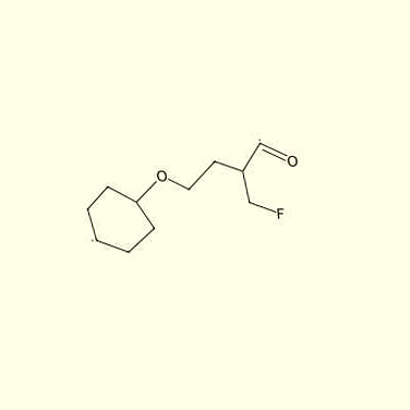 O=[C]C(CF)CCOC1CC[CH]CC1